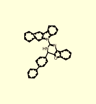 c1ccc(-c2ccc(C3NC(n4c5ccccc5c5cc6ccccc6cc54)=Nc4c3oc3ccccc43)cc2)cc1